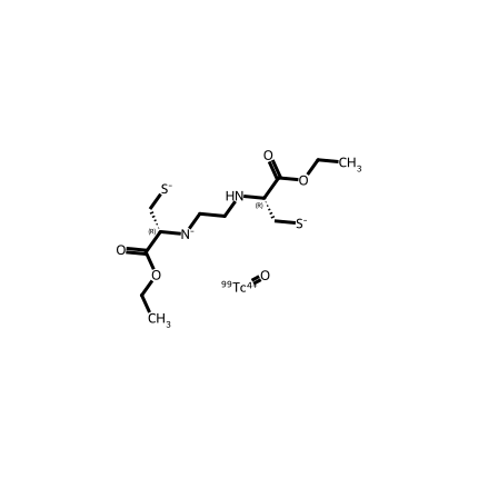 CCOC(=O)[C@H](C[S-])[N-]CCN[C@@H](C[S-])C(=O)OCC.[O]=[99Tc+4]